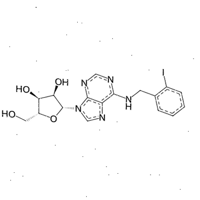 OC[C@H]1O[C@@H](n2cnc3c(NCc4ccccc4I)ncnc32)[C@H](O)[C@@H]1O